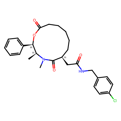 C[C@H]1[C@@H](c2ccccc2)OC(=O)CCCCC[C@@H](CC(=O)NCc2ccc(Cl)cc2)C(=O)N1C